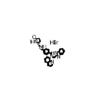 Br.O=C1CC[C@@H](CNCc2ccc(CN(Cc3nc4ccccc4[nH]3)C3CCCc4cccnc43)cc2)N1